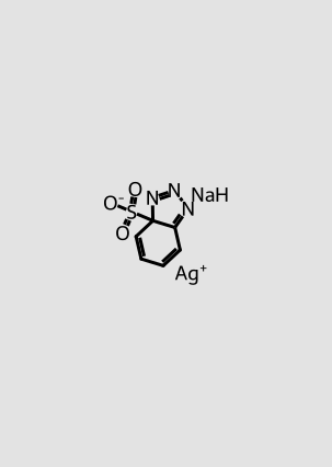 O=S(=O)([O-])C12C=CC=CC1=NN=N2.[Ag+].[NaH]